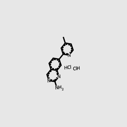 Cc1ccnc(-c2ccc3cnc(N)nc3c2)c1.Cl.Cl